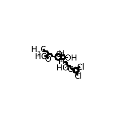 CCCC(CC[C@@H]1CC[C@@H]2[C@@H](C=C[C@@H](O)COc3cc(Cl)cc(Cl)c3)[C@H](O)C[C@@H]2OC1)C(=O)O